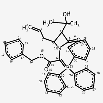 C=CCC1C(C(C)(C)O)C(=O)N1C(C(=O)OCc1ccccc1)=P(c1ccccc1)(c1ccccc1)c1ccccc1